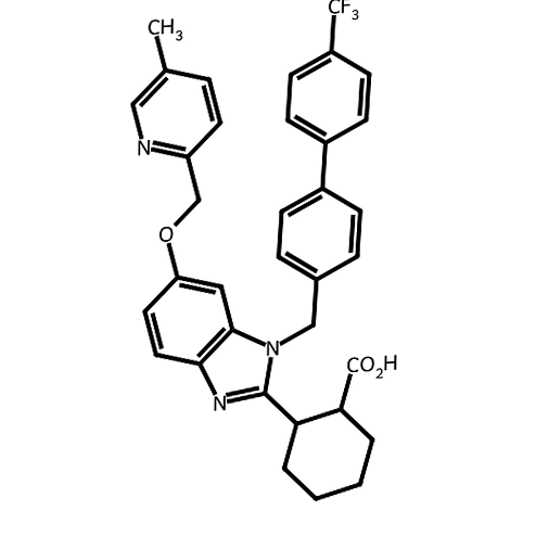 Cc1ccc(COc2ccc3nc(C4CCCCC4C(=O)O)n(Cc4ccc(-c5ccc(C(F)(F)F)cc5)cc4)c3c2)nc1